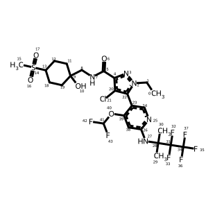 CCn1nc(C(=O)NCC2(O)CCC(S(C)(=O)=O)CC2)c(Cl)c1-c1cnc(NC(C)(C)C(F)(F)C(F)(F)F)cc1OC(F)F